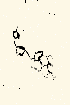 CO[C@H](C)[C@H]1C(=O)N(C)c2cnc(NCc3cnn(Cc4ccc(F)cc4)c3)nc2N1C